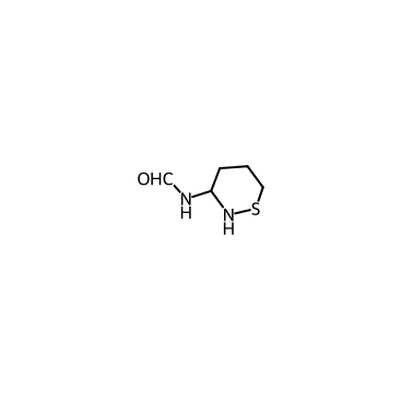 O=CNC1CCCSN1